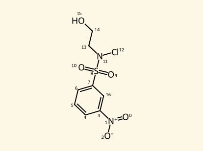 O=[N+]([O-])c1cccc(S(=O)(=O)N(Cl)CCO)c1